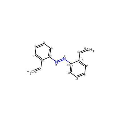 C=Cc1ccccc1/N=N/c1ccccc1C=C